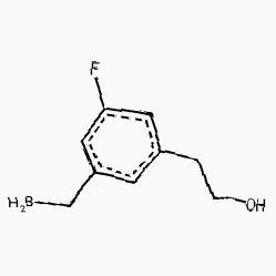 BCc1cc(F)cc(CCO)c1